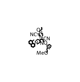 C=CC(=O)N1CCN(c2c(C#N)c(OC[C@@H]3CCCN3CCOC)nc3c2CCN(c2cccc4cccc(C)c24)C3)C[C@@H]1CC#N